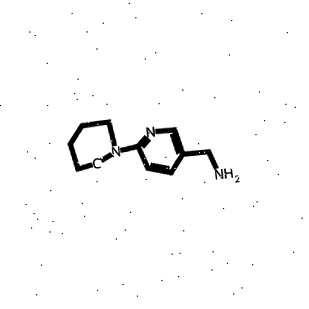 NCc1ccc(N2CCCCC2)nc1